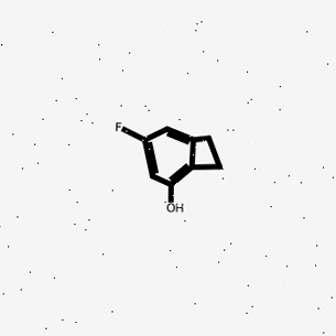 Oc1cc(F)cc2c1CC2